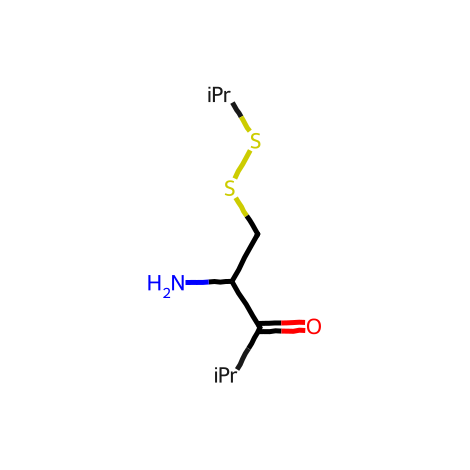 CC(C)SSCC(N)C(=O)C(C)C